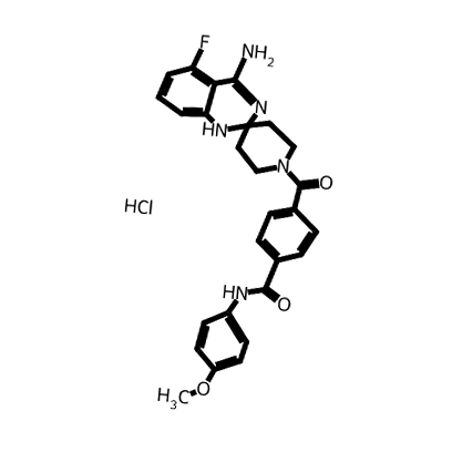 COc1ccc(NC(=O)c2ccc(C(=O)N3CCC4(CC3)N=C(N)c3c(F)cccc3N4)cc2)cc1.Cl